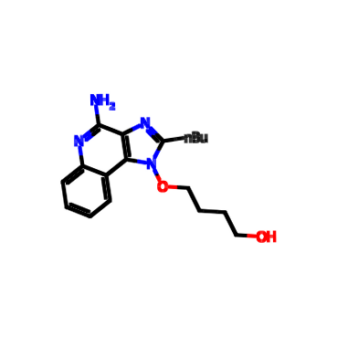 CCCCc1nc2c(N)nc3ccccc3c2n1OCCCCO